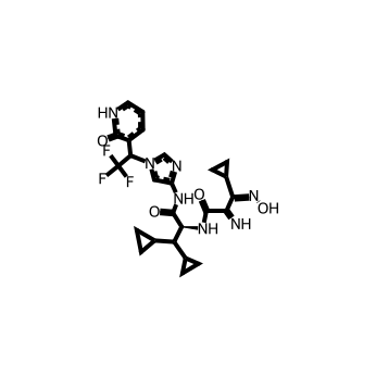 N=C(C(=O)N[C@H](C(=O)Nc1cn(C(c2ccc[nH]c2=O)C(F)(F)F)cn1)C(C1CC1)C1CC1)/C(=N\O)C1CC1